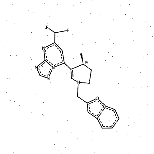 C[C@H]1CCN(Cc2cc3ccccc3o2)C=C1c1cc(C(F)F)nc2ncnn12